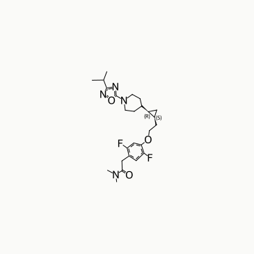 CC(C)c1noc(N2CCC([C@H]3C[C@H]3CCOc3cc(F)c(CC(=O)N(C)C)cc3F)CC2)n1